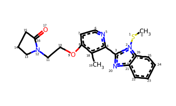 CSn1c(-c2nccc(OCCN3CCCC3=O)c2C)nc2ccccc21